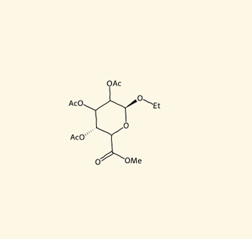 CCO[C@H]1OC(C(=O)OC)[C@H](OC(C)=O)C(OC(C)=O)C1OC(C)=O